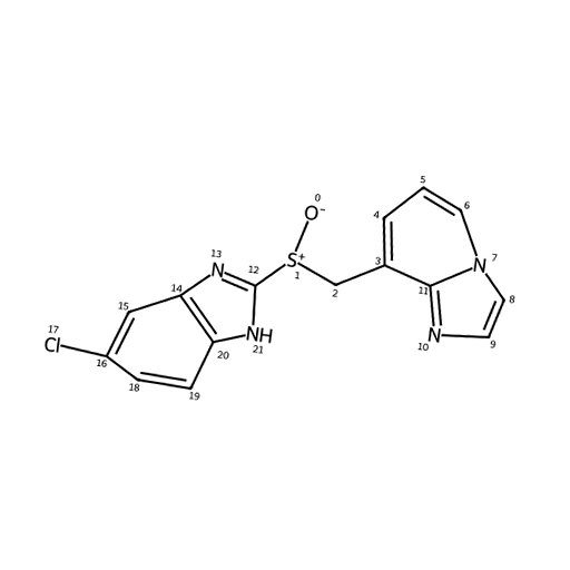 [O-][S+](Cc1cccn2ccnc12)c1nc2cc(Cl)ccc2[nH]1